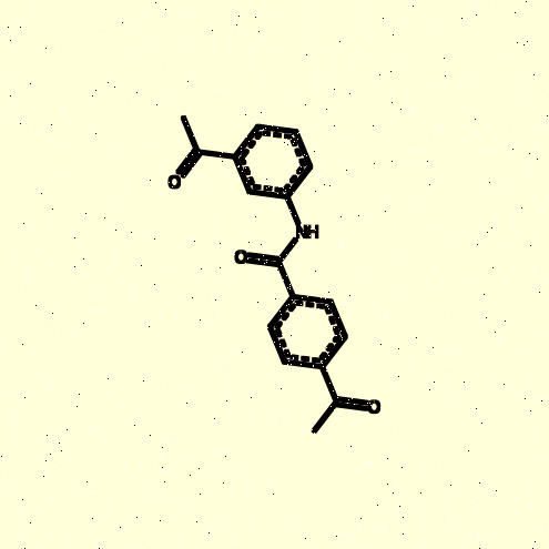 CC(=O)c1ccc(C(=O)Nc2cccc(C(C)=O)c2)cc1